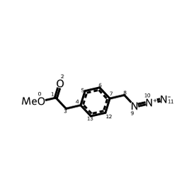 COC(=O)Cc1ccc(CN=[N+]=[N-])cc1